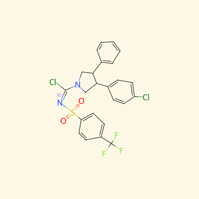 O=S(=O)(/N=C(/Cl)N1CC(c2ccccc2)C(c2ccc(Cl)cc2)C1)c1ccc(C(F)(F)F)cc1